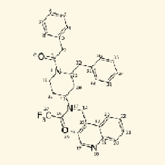 O=C(Cc1ccccc1)N1CCC(N(Cc2ccnc3ccccc23)C(=O)C(F)(F)F)CC1Cc1ccccc1